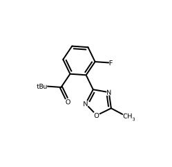 Cc1nc(-c2c(F)cccc2C(=O)C(C)(C)C)no1